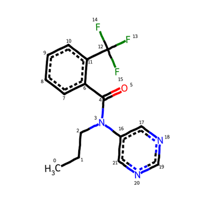 CCCN(C(=O)c1ccccc1C(F)(F)F)c1cncnc1